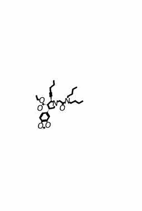 CCCC#C[C@@H]1[C@@H](C(=O)OCC)[C@@H](c2ccc3c(c2)OCO3)CN1CC(=O)N(CCCC)CCCC